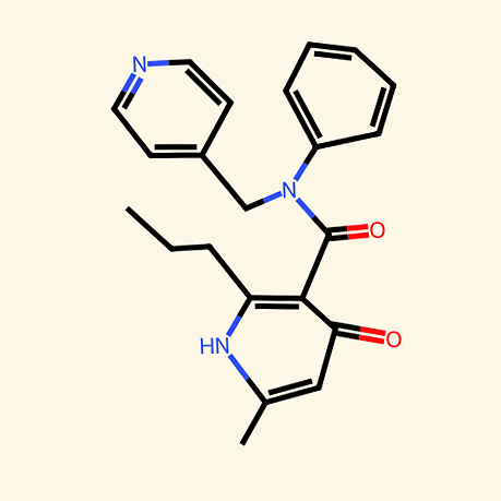 CCCc1[nH]c(C)cc(=O)c1C(=O)N(Cc1ccncc1)c1ccccc1